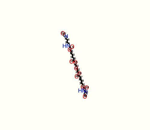 O=C=NCCCCNC(=O)OCCCCCC(=O)OCCOCCOC(=O)CCCCCOC(=O)NN=C=O